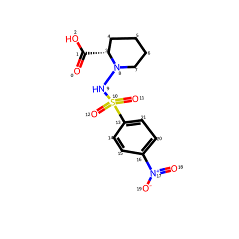 O=C(O)[C@@H]1CCCCN1NS(=O)(=O)c1ccc([N+](=O)[O-])cc1